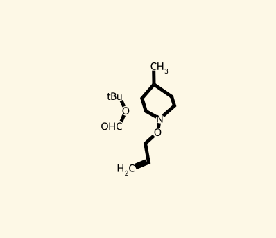 C=CCON1CCC(C)CC1.CC(C)(C)OC=O